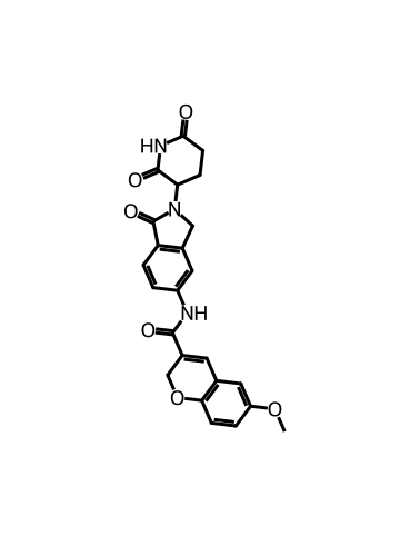 COc1ccc2c(c1)C=C(C(=O)Nc1ccc3c(c1)CN(C1CCC(=O)NC1=O)C3=O)CO2